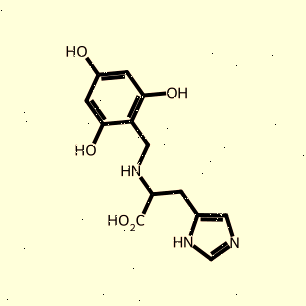 O=C(O)C(Cc1cnc[nH]1)NCc1c(O)cc(O)cc1O